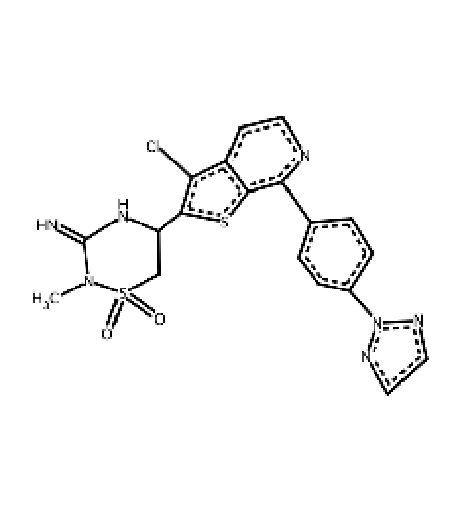 CN1C(=N)NC(c2sc3c(-c4ccc(-n5nccn5)cc4)nccc3c2Cl)CS1(=O)=O